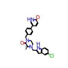 C[C@H]1C(=O)N(Cc2ccc(-c3ccc(=O)[nH]c3)cc2)CCN1Cc1cc2cc(Cl)ccc2[nH]1